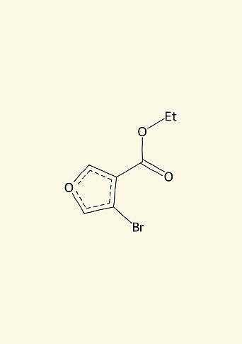 CCOC(=O)c1cocc1Br